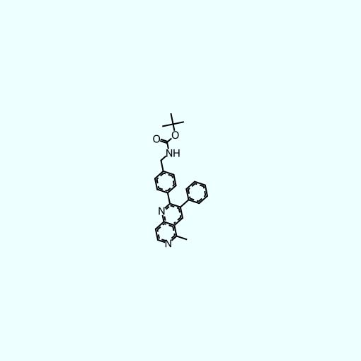 Cc1nccc2nc(-c3ccc(CNC(=O)OC(C)(C)C)cc3)c(-c3ccccc3)cc12